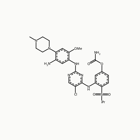 COc1cc(N2CCN(C)CC2)c(N)cc1Nc1ncc(Cl)c(Nc2cc(OC(N)=O)ccc2S(=O)(=O)C(C)C)n1